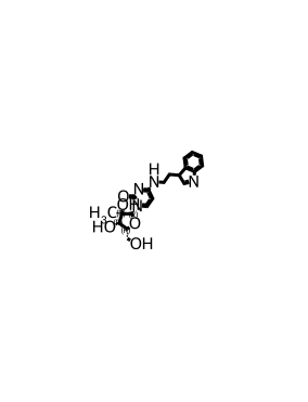 C[C@@]1(O)[C@H](O)[C@@H](CO)O[C@H]1n1ccc(NCCC2C=Nc3ccccc32)nc1=O